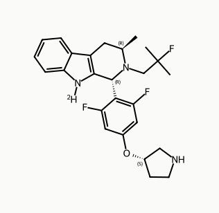 [2H]n1c2c(c3ccccc31)C[C@@H](C)N(CC(C)(C)F)[C@@H]2c1c(F)cc(O[C@H]2CCNC2)cc1F